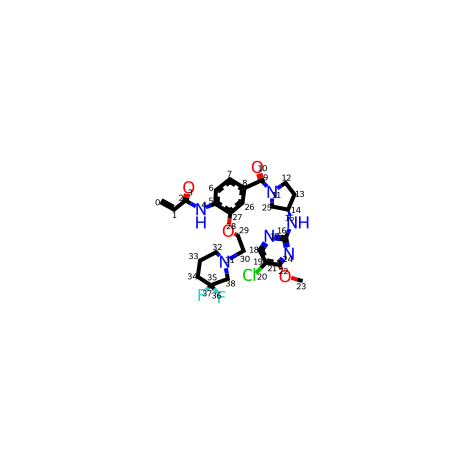 C=CC(=O)Nc1ccc(C(=O)N2CC[C@@H](Nc3ncc(Cl)c(OC)n3)C2)cc1OCCN1CCCC(F)(F)C1